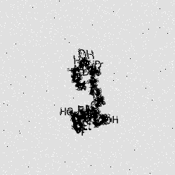 CCc1c(F)ccc2cc(O)cc(-c3ncc4c(N5CCC[C@@](C)(O)C5)nc(OCC5(CN6CCN(C7CC(c8cn([C@H](C(=O)N9C[C@H](O)C[C@H]9C(=O)N[C@@H](C)c9ccc(-c%10scnc%10C)cc9)C(C)C)nn8)C7)CC6)CC5)nc4c3F)c12